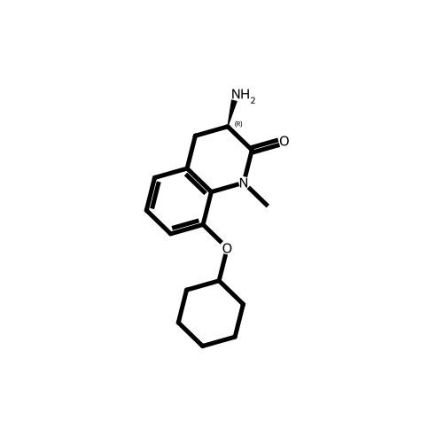 CN1C(=O)[C@H](N)Cc2cccc(OC3CCCCC3)c21